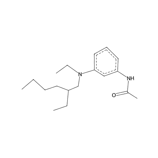 CCCCC(CC)CN(CC)c1cccc(NC(C)=O)c1